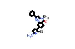 CCc1nc(N)ccc1-c1ccc2c(=O)n(C)c3cc(-c4ccccc4)nn3c2c1